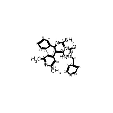 Cc1cc(-c2c(-c3ccccc3)nc(N)[n+]3c(=O)n(Cc4ccncc4)[nH]c23)cc(C)n1